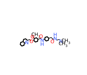 COc1cc(C(=O)Nc2ccc(CC(=O)NCCN(C)C)cc2)ccc1OCc1ccc2ccccc2n1